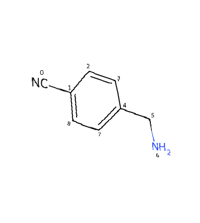 N#Cc1c[c]c(CN)cc1